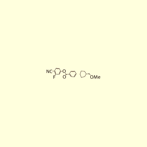 COC[C@H]1CC[C@H](c2ccc(C(=O)Oc3ccc(C#N)c(F)c3)cc2)CC1